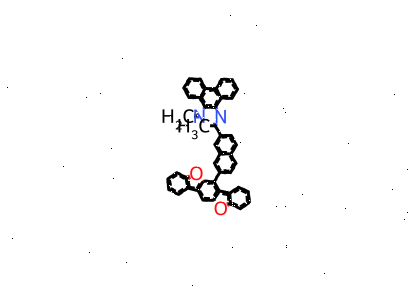 C=Nc1c(/N=C(\C)c2ccc3ccc(-c4c5oc6ccccc6c5cc5oc6ccccc6c45)cc3c2)c2ccccc2c2ccccc12